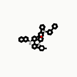 CC1C=Cc2c(n(-c3ccccc3)c3c(-c4cc(-c5ccc6c(c5)c5ccccc5n6-c5cccc(-c6ccccc6)c5)ccc4Nc4ccc5ccccc5c4)cccc23)C1